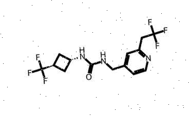 O=C(NCc1ccnc(CC(F)(F)F)c1)N[C@H]1C[C@H](C(F)(F)F)C1